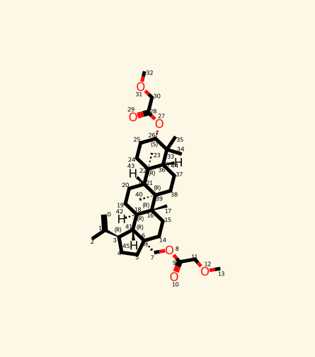 C=C(C)[C@@H]1CC[C@]2(COC(=O)COC)CC[C@]3(C)[C@H](CC[C@@H]4[C@@]5(C)CC[C@H](OC(=O)COC)C(C)(C)[C@@H]5CC[C@]43C)[C@@H]12